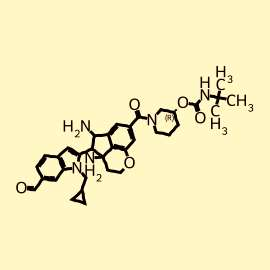 CC(C)(C)NC(=O)O[C@@H]1CCCN(C(=O)c2cc3c4c(c2)C(N)C(c2cc5ccc(C=O)cc5n2CC2CC2)C4(N)CCO3)C1